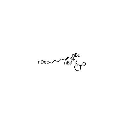 CCCCCCCCCCCCCCC=C[N+](CCCC)(CCCC)CN1CCCC1=O